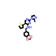 Cc1nccn1-c1ncc(-c2cccs2)c(NCc2ccc3c(c2)OCO3)n1